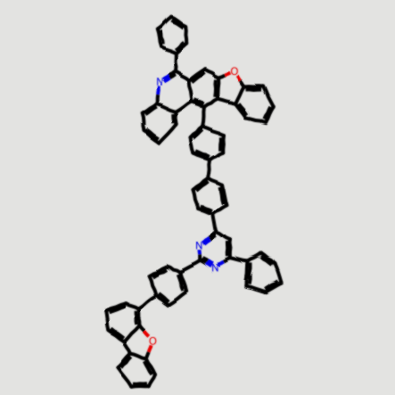 c1ccc(-c2cc(-c3ccc(-c4ccc(-c5c6c(cc7c(-c8ccccc8)nc8ccccc8c57)oc5ccccc56)cc4)cc3)nc(-c3ccc(-c4cccc5c4oc4ccccc45)cc3)n2)cc1